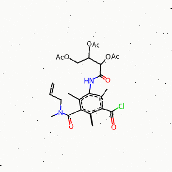 C=CCN(C)C(=O)c1c(C)c(NC(=O)C(OC(C)=O)C(COC(C)=O)OC(C)=O)c(C)c(C(=O)Cl)c1C